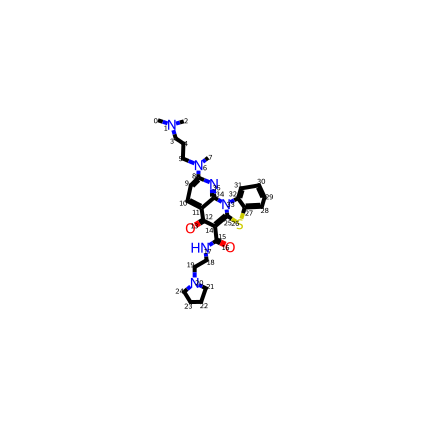 CN(C)CCCN(C)c1ccc2c(=O)c(C(=O)NCCN3CCCC3)c3sc4ccccc4n3c2n1